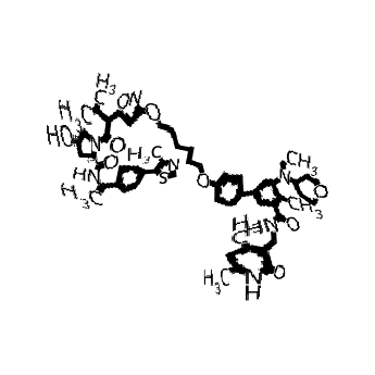 CCN(c1cc(-c2ccc(OCCCCCCOc3cc(C(C(=O)N4C[C@H](O)C[C@H]4C(=O)NC(C)c4ccc(-c5scnc5C)cc4)C(C)C)on3)cc2)cc(C(=O)NCc2c(C)cc(C)[nH]c2=O)c1C)C1CCOCC1